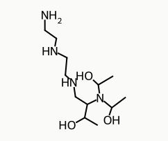 CC(O)C(CNCCNCCN)N(C(C)O)C(C)O